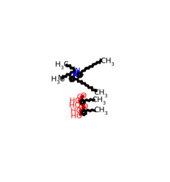 CCCCCCCCC=CCCc1ccccc1N=C(CCCCC)C(CCCCCC)=Nc1ccccc1CCC=CCCCCCCCC.CCCCCc1ccc(O)c(O)c1C(=O)[O-].CCCCCc1ccc(O)c(O)c1C(=O)[O-].[Ni+2]